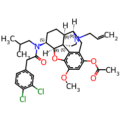 C=CCN1CC[C@]23c4c5c(OC(C)=O)cc(OC)c4O[C@H]2[C@@H](N(CC(C)C)C(=O)Cc2ccc(Cl)c(Cl)c2)CC[C@H]3[C@H]1C5